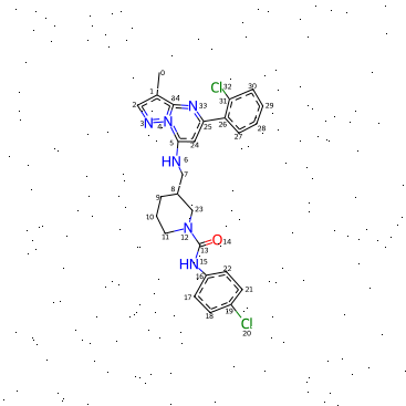 Cc1cnn2c(NCC3CCCN(C(=O)Nc4ccc(Cl)cc4)C3)cc(-c3ccccc3Cl)nc12